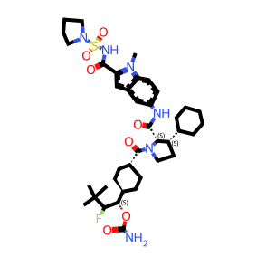 Cn1c(C(=O)NS(=O)(=O)N2CCCC2)cc2cc(NC(=O)[C@@H]3[C@H](C4CCCCC4)CCN3C(=O)[C@H]3CC[C@H]([C@H](OC(N)=O)C(F)C(C)(C)C)CC3)ccc21